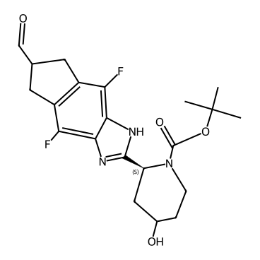 CC(C)(C)OC(=O)N1CCC(O)C[C@H]1c1nc2c(F)c3c(c(F)c2[nH]1)CC(C=O)C3